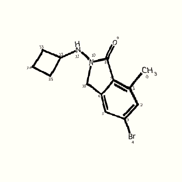 Cc1cc(Br)cc2c1C(=O)N(NC1CCC1)C2